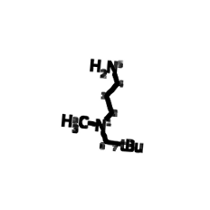 CN(CCCN)CC(C)(C)C